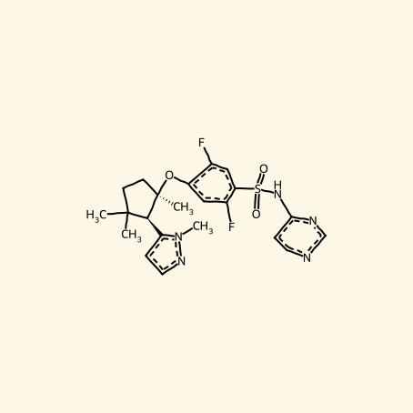 Cn1nccc1[C@H]1C(C)(C)CC[C@@]1(C)Oc1cc(F)c(S(=O)(=O)Nc2ccncn2)cc1F